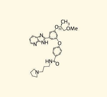 COC[C@H](C)Oc1cc(Oc2ccc(C(=O)NCCCN3CCCC3)cc2)cc(-c2nc3cccnc3[nH]2)c1